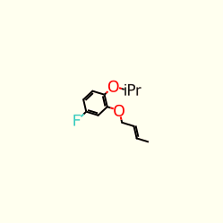 C/C=C/COc1cc(F)ccc1OC(C)C